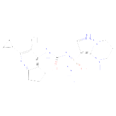 Cc1c(C2CC2)nc2c(c1NC(=O)N=S(N)(=O)c1cnn3c1NCCC3)CCC2